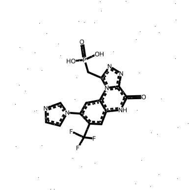 O=c1[nH]c2cc(C(F)(F)F)c(-n3ccnc3)cc2n2c(CP(=O)(O)O)nnc12